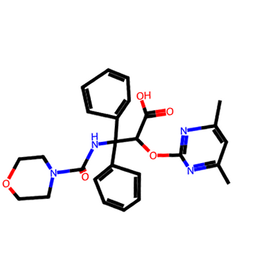 Cc1cc(C)nc(OC(C(=O)O)C(NC(=O)N2CCOCC2)(c2ccccc2)c2ccccc2)n1